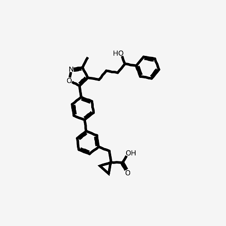 Cc1noc(-c2ccc(-c3cccc(CC4(C(=O)O)CC4)c3)cc2)c1CCCC(O)c1ccccc1